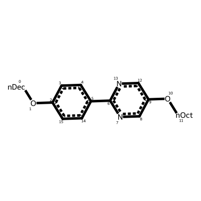 CCCCCCCCCCOc1ccc(-c2ncc(OCCCCCCCC)cn2)cc1